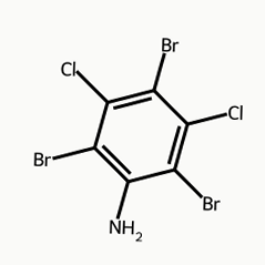 Nc1c(Br)c(Cl)c(Br)c(Cl)c1Br